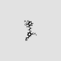 Cc1cc(CCBr)ccc1OCCNc1ncnc(C)c1Cl